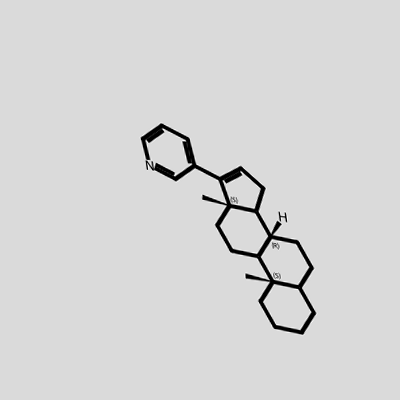 C[C@]12CCCCC1CC[C@@H]1C2CC[C@]2(C)C(c3cccnc3)=CCC12